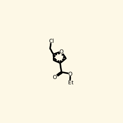 CCOC(=O)c1coc(CCl)c1